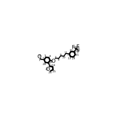 O=Cc1ccc(OCCCCCc2cccc(C(F)(F)F)c2)c(-c2ccco2)c1